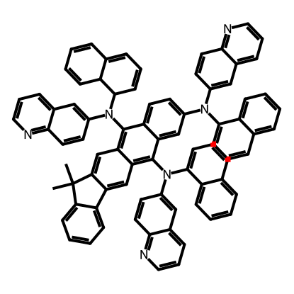 CC1(C)c2ccccc2-c2cc3c(N(c4ccc5ncccc5c4)c4cccc5ccccc45)c4cc(N(c5ccc6ncccc6c5)c5cccc6ccccc56)ccc4c(N(c4ccc5ncccc5c4)C4C=CC=C5C=CC=CC54)c3cc21